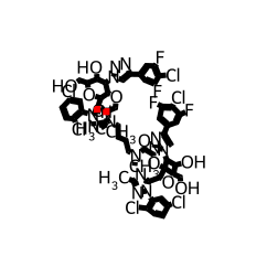 Cc1nc(C2OC(CO)C(O)C(n3cc(-c4cc(F)c(Cl)c(F)c4)nn3)C2OCC(=O)N(C)CCCCN(C)C(=O)COC23C(c4nc(C)nn4-c4cc(Cl)ccc4Cl)OC2(CO)C(O)C3n2cc(-c3cc(F)c(Cl)c(F)c3)nn2)n(-c2cc(Cl)ccc2Cl)n1